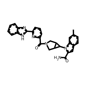 Cc1ccc2cc(C(N)=O)n(C3C4CN(C(=O)c5cccc(-c6nc7ccccc7[nH]6)n5)CC43)c2c1